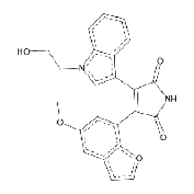 COc1cc(C2=C(c3cn(CCO)c4ccccc34)C(=O)NC2=O)c2occc2c1